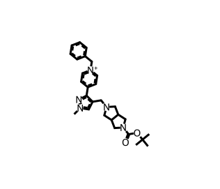 Cn1cc(CN2CC3CN(C(=O)OC(C)(C)C)CC3C2)c(-c2cc[n+](Cc3ccccc3)cc2)n1